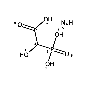 O=C(O)C(O)P(=O)(O)O.[NaH]